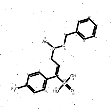 CC(=O)N(C/C=C(\c1ccc(C(F)(F)F)cc1)P(=O)(O)O)OCc1ccccc1